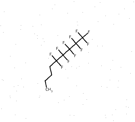 CCCCC(F)(F)C(F)(F)C(F)(F)C(F)(F)C(F)(F)F